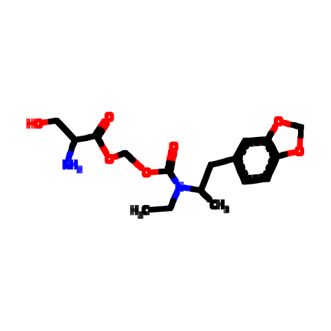 CCN(C(=O)OCOC(=O)C(N)CO)C(C)Cc1ccc2c(c1)OCO2